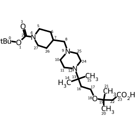 CC(C)(C)OC(=O)N1CCC(CN2CCN(C(C)(C)CCOC(C)(C)CC(=O)O)CC2)CC1